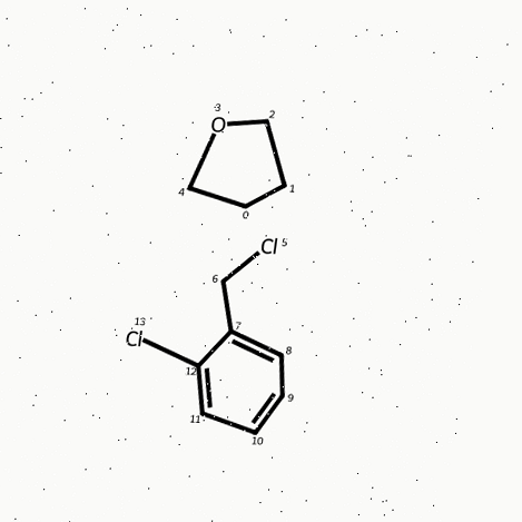 C1CCOC1.ClCc1ccccc1Cl